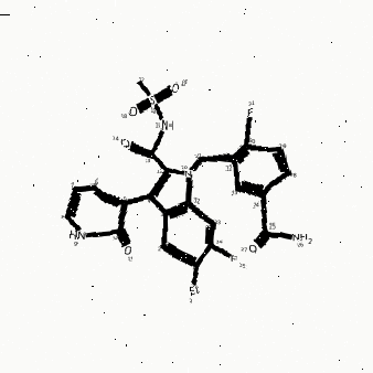 CCc1cc2c(-c3ccc[nH]c3=O)c(C(=O)NS(C)(=O)=O)n(Cc3cc(C(N)=O)ccc3F)c2cc1F